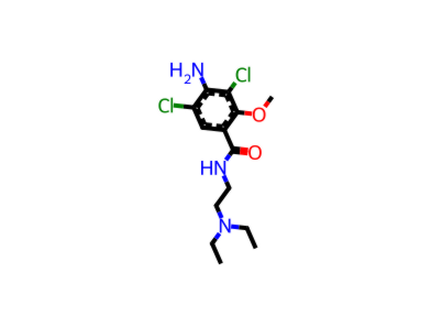 CCN(CC)CCNC(=O)c1cc(Cl)c(N)c(Cl)c1OC